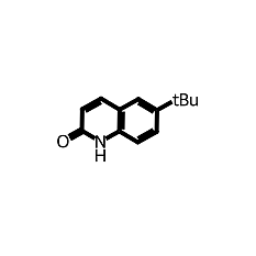 CC(C)(C)c1ccc2[nH]c(=O)ccc2c1